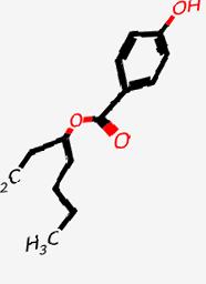 [CH2]CC(CCCC)OC(=O)c1ccc(O)cc1